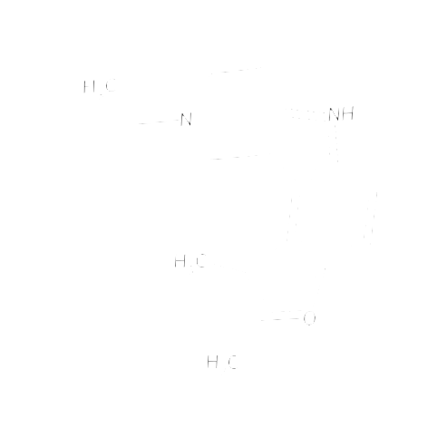 CCN1CCc2[nH]c3ccc4oc(C)c(C)c4c3c2C1